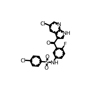 O=C(c1cc(NS(=O)(=O)c2ccc(Cl)cc2)ccc1F)c1c[nH]c2ncc(Cl)cc12